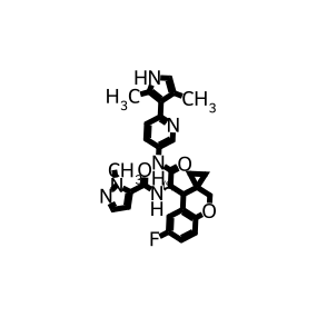 Cc1c[nH]c(C)c1-c1ccc(NC(=O)[C@@H](NC(=O)c2ccnn2C)C2c3cc(F)ccc3OCC23CC3)cn1